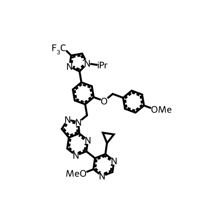 COc1ccc(COc2cc(-c3nc(C(F)(F)F)cn3C(C)C)ccc2Cn2ncc3cnc(-c4c(OC)ncnc4C4CC4)nc32)cc1